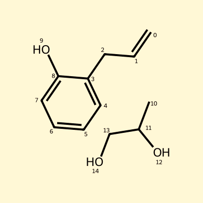 C=CCc1ccccc1O.CC(O)CO